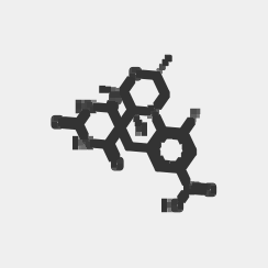 C[C@@H]1CN2c3c(F)cc([N+](=O)O)cc3CC3(C(=O)NC(=O)NC3=O)[C@H]2[C@H](C)O1